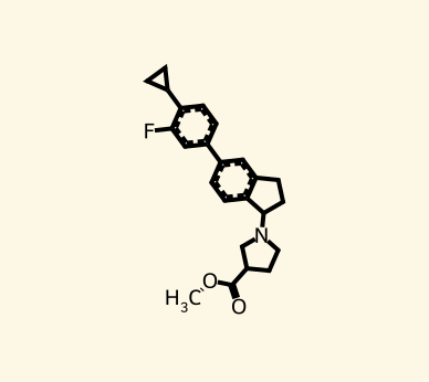 COC(=O)C1CCN(C2CCc3cc(-c4ccc(C5CC5)c(F)c4)ccc32)C1